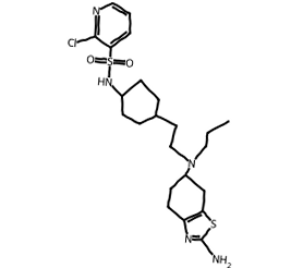 CCCN(CCC1CCC(NS(=O)(=O)c2cccnc2Cl)CC1)C1CCc2nc(N)sc2C1